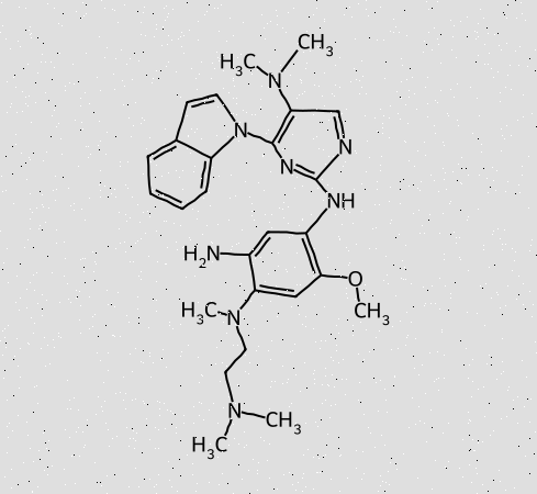 COc1cc(N(C)CCN(C)C)c(N)cc1Nc1ncc(N(C)C)c(-n2ccc3ccccc32)n1